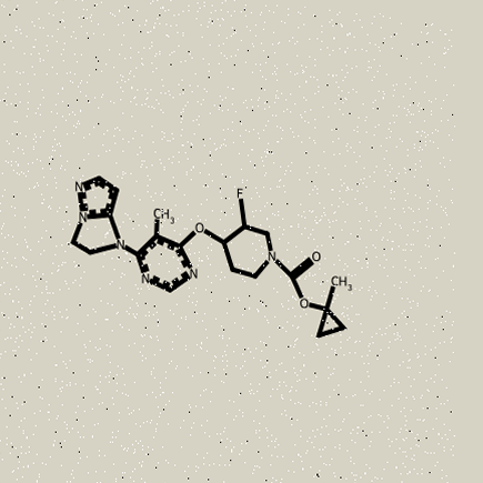 Cc1c(OC2CCN(C(=O)OC3(C)CC3)CC2F)ncnc1N1CCn2nccc21